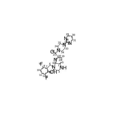 C=C1NCCN(Cc2c(F)ccc(F)c2O)/C1=N/C(=C\C)C(=O)N1CCN(c2ncccn2)CC1